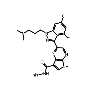 CCCNC(=O)c1c[nH]c2ncc(-c3nn(CCCN(C)C)c4cc(Cl)cc(F)c34)nc12